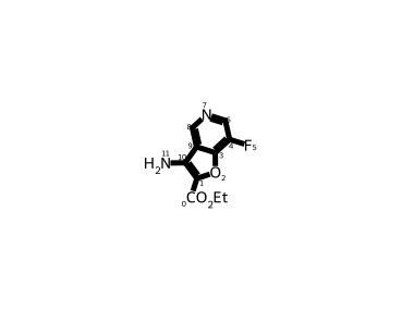 CCOC(=O)c1oc2c(F)cncc2c1N